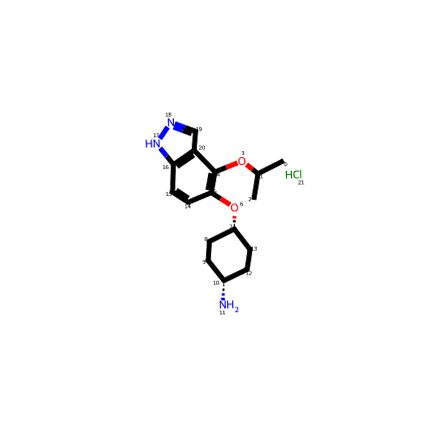 CC(C)Oc1c(O[C@H]2CC[C@@H](N)CC2)ccc2[nH]ncc12.Cl